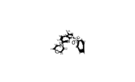 O=S(=O)(c1ccccc1)n1cc(I)c2ccc(N3CCOCC3)nc21